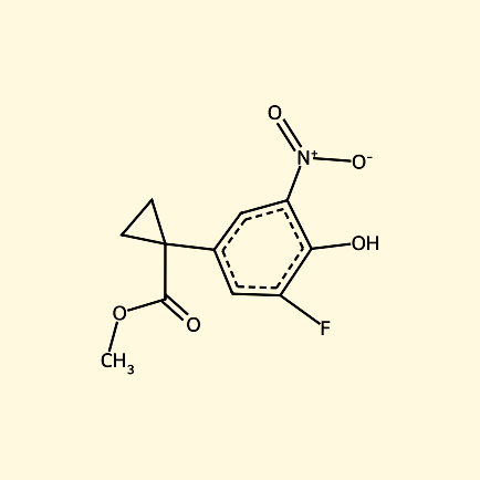 COC(=O)C1(c2cc(F)c(O)c([N+](=O)[O-])c2)CC1